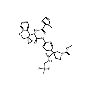 C=C(OC)N1CCC(C(=O)NCC(F)(F)F)(c2ccc(NC(=O)[C@@H](NC(=O)c3ccnn3C)C3c4ccccc4OCC34CC4)cc2)C1